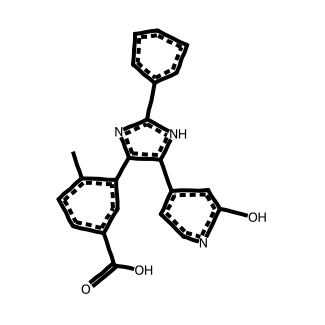 Cc1ccc(C(=O)O)cc1-c1nc(-c2ccccc2)[nH]c1-c1ccnc(O)c1